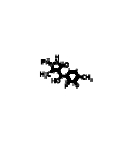 Cc1ccc(C(O)c2c(C)n(C(C)C)[nH]c2=O)c(F)c1F